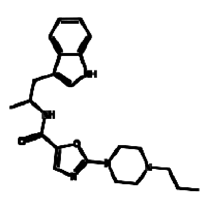 CCCN1CCN(c2ncc(C(=O)NC(C)Cc3c[nH]c4ccccc34)o2)CC1